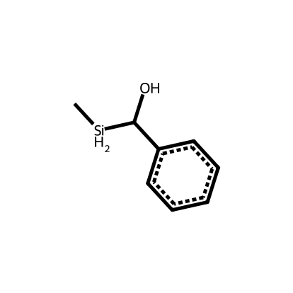 C[SiH2]C(O)c1ccccc1